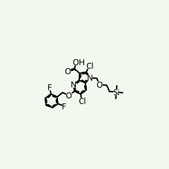 C[Si](C)(C)CCOCn1c(Cl)c(C(=O)O)c2nc(OCc3c(F)cccc3F)c(Cl)cc21